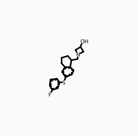 OC1CN(CC2CCCc3cc(Sc4cccc(F)c4)ccc32)C1